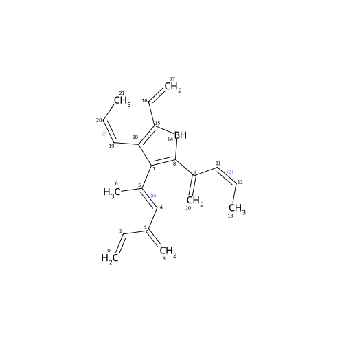 C=CC(=C)/C=C(\C)C1=C(C(=C)/C=C\C)BC(C=C)=C1/C=C\C